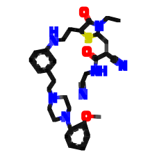 CCN1C(=O)C(CCNc2cccc(CCN3CCN(c4ccccc4OC)CC3)c2)SC1CC(C#N)C(=O)NCC#N